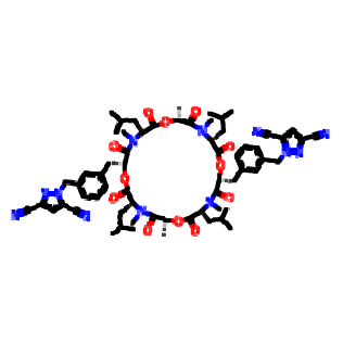 CC(C)C[C@H]1C(=O)O[C@H](Cc2cccc(Cn3nc(C#N)cc3C#N)c2)C(=O)N(C)[C@@H](CC(C)C)C(=O)O[C@H](C)C(=O)N(C)[C@@H](CC(C)C)C(=O)O[C@H](Cc2cccc(Cn3nc(C#N)cc3C#N)c2)C(=O)N(C)[C@@H](CC(C)C)C(=O)O[C@H](C)C(=O)N1C